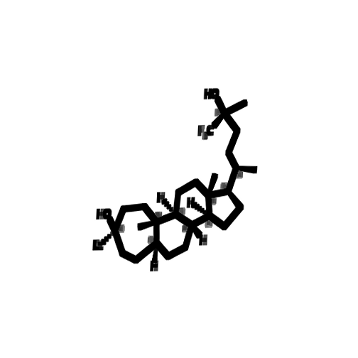 CC[C@@]1(O)CC[C@@H]2CC[C@@H]3[C@H](CC[C@]4(C)[C@@H]([C@H](C)CC[C@@](C)(O)C(F)(F)F)CC[C@@H]34)[C@@]2(C)CC1